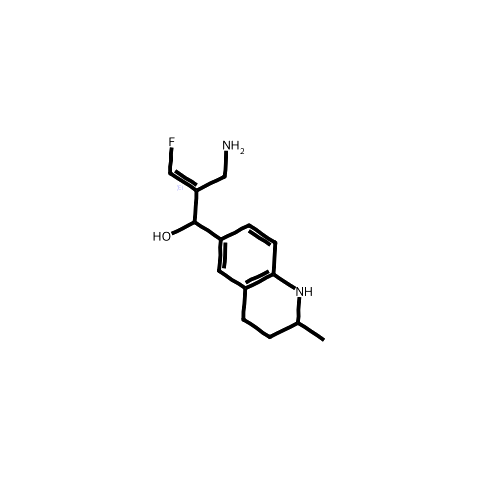 CC1CCc2cc(C(O)/C(=C/F)CN)ccc2N1